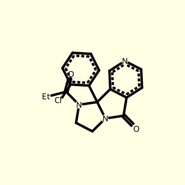 CCC(=O)N1CCN2C(=O)c3ccncc3C12c1ccccc1Cl